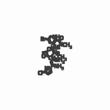 CO[C@@H](CN(N)/C=C(\N)n1ccc(Cl)n1)C(OC1COC1C)SC1=C(C(=O)N(C)C)NCC(Br)=C1